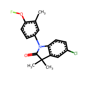 Cc1cc(N2C(=O)C(C)(C)c3cc(Cl)ccc32)ccc1OF